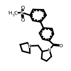 CS(=O)(=O)c1cccc(-c2ccc(C(=O)N3CCCC3CN3CCCC3)cc2)c1